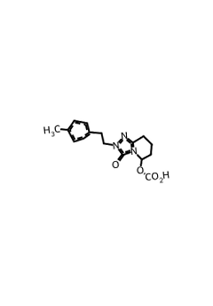 Cc1ccc(CCn2nc3n(c2=O)C(OC(=O)O)CCC3)cc1